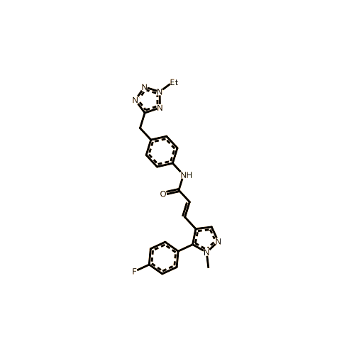 CCn1nnc(Cc2ccc(NC(=O)/C=C/c3cnn(C)c3-c3ccc(F)cc3)cc2)n1